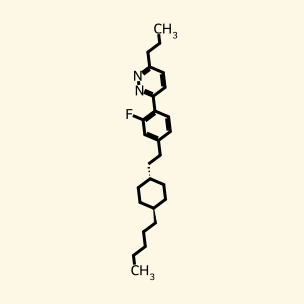 CCCCC[C@H]1CC[C@H](CCc2ccc(-c3ccc(CCC)nn3)c(F)c2)CC1